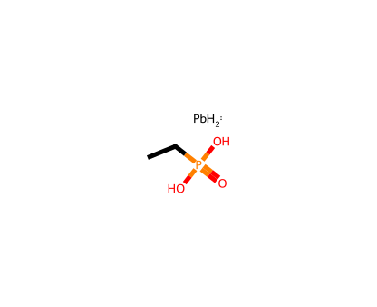 CCP(=O)(O)O.[PbH2]